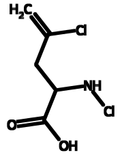 C=C(Cl)CC(NCl)C(=O)O